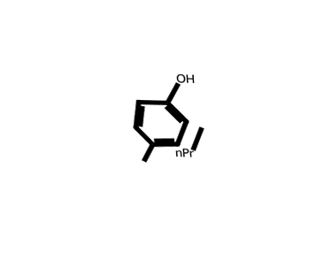 CCCC.Cc1ccc(O)cc1